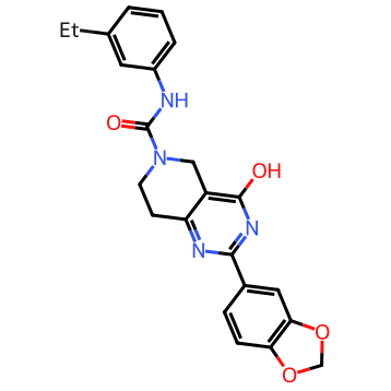 CCc1cccc(NC(=O)N2CCc3nc(-c4ccc5c(c4)OCO5)nc(O)c3C2)c1